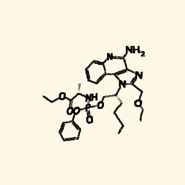 CCCC[C@H](COP(=O)(N[C@@H](C)C(=O)OCC)Oc1ccccc1)n1c(COCC)nc2c(N)nc3ccccc3c21